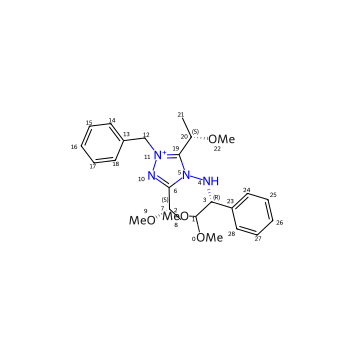 COC(OC)[C@H](Nn1c([C@H](C)OC)n[n+](Cc2ccccc2)c1[C@H](C)OC)c1ccccc1